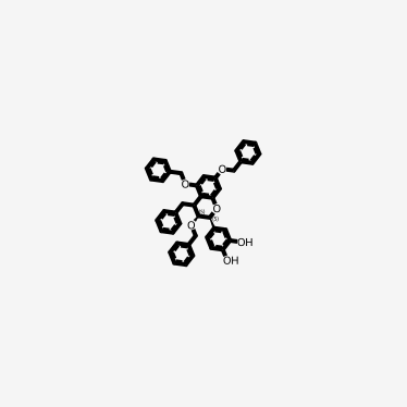 Oc1ccc([C@@H]2Oc3cc(OCc4ccccc4)cc(OCc4ccccc4)c3C(Cc3ccccc3)[C@@H]2OCc2ccccc2)cc1O